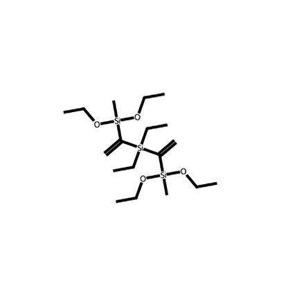 C=C([Si](C)(OCC)OCC)[Si](CC)(CC)C(=C)[Si](C)(OCC)OCC